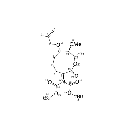 C=C(C)CO[C@H]1CCC[C@H](N(C(=O)OC(C)(C)C)C(=O)OC(C)(C)C)C(=O)O[C@@H](C)[C@@H]1OC